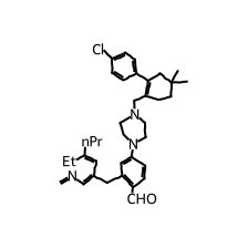 C=N/C=C(\C=C(/CC)CCC)Cc1cc(N2CCN(CC3=C(c4ccc(Cl)cc4)CC(C)(C)CC3)CC2)ccc1C=O